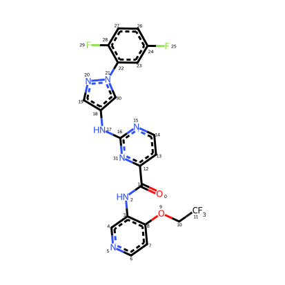 O=C(Nc1cnccc1OCC(F)(F)F)c1ccnc(Nc2cnn(-c3cc(F)ccc3F)c2)n1